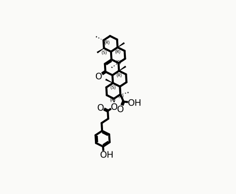 C[C@@H]1CC[C@]2(C)CC[C@]3(C)C(=CC(=O)C4[C@@]5(C)CC[C@@H](OC(=O)CCc6ccc(O)cc6)[C@](C)(C(=O)O)C5CC[C@]43C)C2[C@H]1C